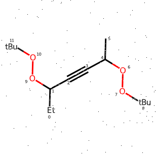 CCC(C#CC(C)OOC(C)(C)C)OOC(C)(C)C